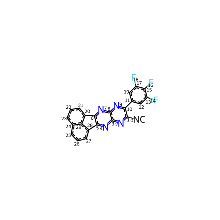 [C-]#[N+]c1nc2nc3c(nc2nc1-c1cc(F)c(F)c(F)c1)-c1cccc2cccc-3c12